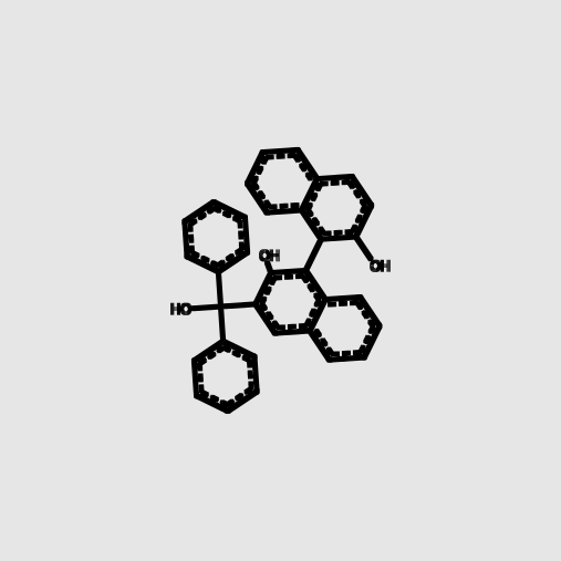 Oc1ccc2ccccc2c1-c1c(O)c(C(O)(c2ccccc2)c2ccccc2)cc2ccccc12